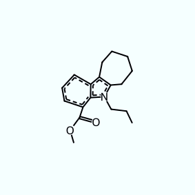 CCCn1c2c(c3cccc(C(=O)OC)c31)CCCCC2